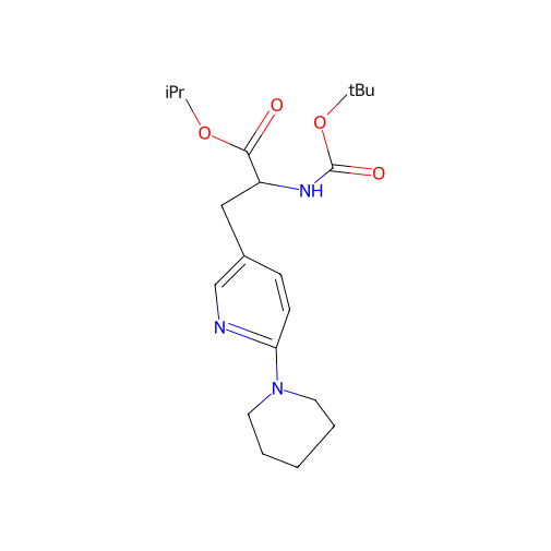 CC(C)OC(=O)C(Cc1ccc(N2CCCCC2)nc1)NC(=O)OC(C)(C)C